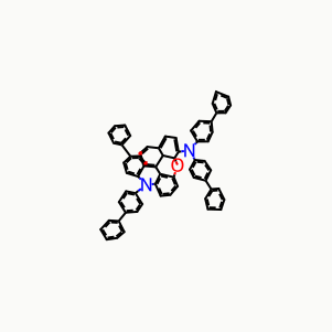 C1=CC2=CC=C(N(c3ccc(-c4ccccc4)cc3)c3ccc(-c4ccccc4)cc3)C3Oc4cccc(N(c5ccc(-c6ccccc6)cc5)c5ccc(-c6ccccc6)cc5)c4C(=C1)C23